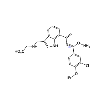 C=C(/N=C(\ON)c1ccc(OC(C)C)c(Cl)c1)c1cccc2c(CNCC(=O)O)c[nH]c12